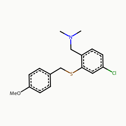 COc1ccc(CSc2cc(Cl)ccc2CN(C)C)cc1